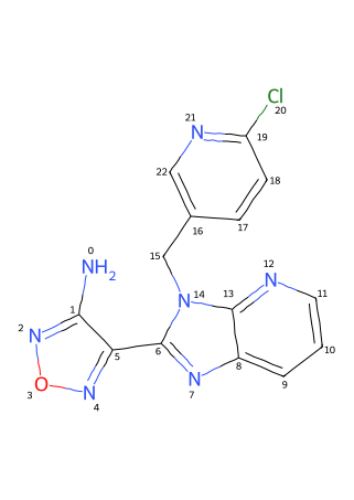 Nc1nonc1-c1nc2cccnc2n1Cc1ccc(Cl)nc1